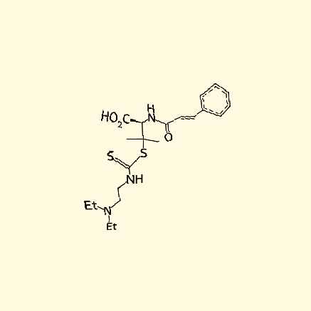 CCN(CC)CCNC(=S)SC(C)(C)[C@H](NC(=O)C=Cc1ccccc1)C(=O)O